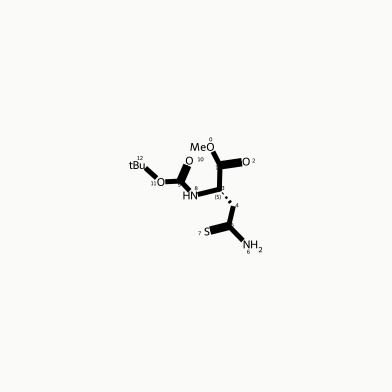 COC(=O)[C@H](CC(N)=S)NC(=O)OC(C)(C)C